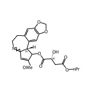 CCCOC(=O)C[C@@H](O)C(=O)OC1C(OC)=CC23CCCN2CCc2cc4c(cc2[C@H]13)OCO4